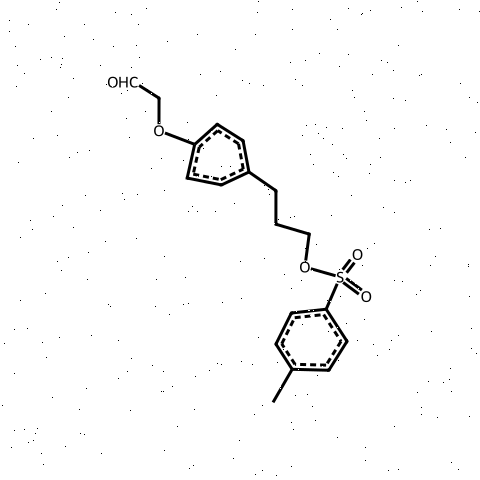 Cc1ccc(S(=O)(=O)OCCCc2ccc(OCC=O)cc2)cc1